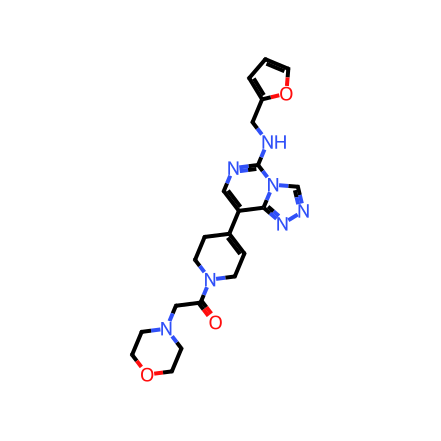 O=C(CN1CCOCC1)N1CC=C(c2cnc(NCc3ccco3)n3cnnc23)CC1